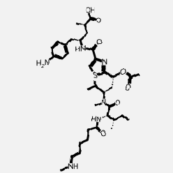 CC[C@H](C)[C@H](NC(=O)CCCCCNC)C(=O)N(C)[C@H](C[C@@H](OC(C)=O)c1nc(C(=O)N[C@@H](Cc2ccc(N)cc2)C[C@@H](C)C(=O)O)cs1)C(C)C